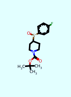 CC(C)(C)OC(=O)N1CCC([S+]([O-])c2ccc(F)cc2)CC1